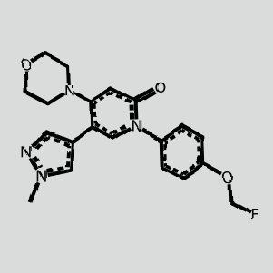 Cn1cc(-c2cn(-c3ccc(OCF)cc3)c(=O)cc2N2CCOCC2)cn1